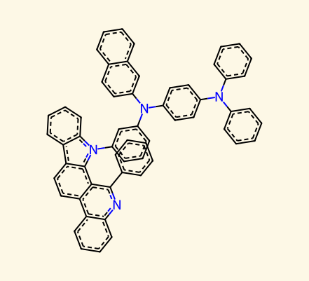 c1ccc(-c2nc3ccccc3c3ccc4c5ccccc5n(-c5cccc(N(c6ccc(N(c7ccccc7)c7ccccc7)cc6)c6ccc7ccccc7c6)c5)c4c23)cc1